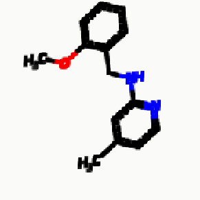 COc1ccccc1CNc1cc(C)ccn1